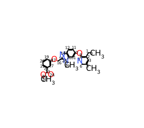 CCc1cc(C)cnc1Oc1ccc2nc(COc3cccc(C(=O)OC)c3)n(C)c2c1